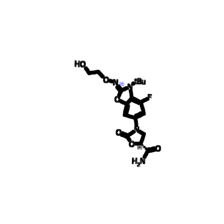 CC(C)(C)n1/c(=N/OCCO)oc2cc(N3C[C@H](C(N)=O)OC3=O)cc(F)c21